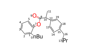 CCCCc1ccccc1OC(=O)C(C)c1ccc(CC(C)C)cc1